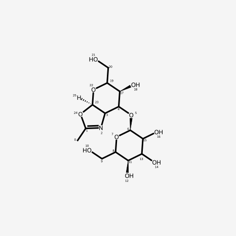 CC1=NC2C(O[C@@H]3OC(CO)[C@H](O)C(O)C3O)[C@H](O)C(CO)O[C@@H]2O1